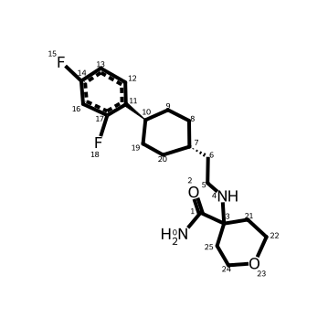 NC(=O)C1(NCC[C@H]2CC[C@H](c3ccc(F)cc3F)CC2)CCOCC1